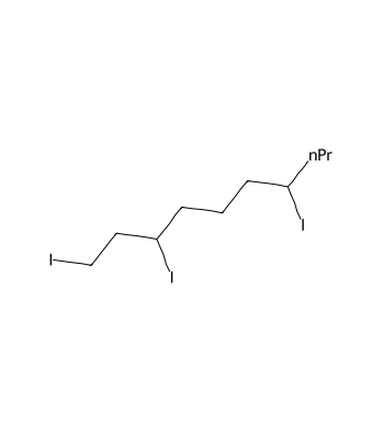 CCCC(I)CCCC(I)CCI